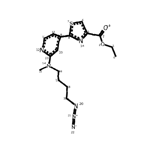 CCOC(=O)c1csc(-c2ccnc(N(C)CCCCN=[N+]=[N-])c2)n1